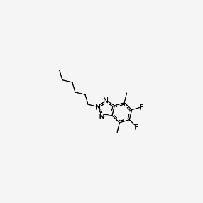 CCCCCCn1nc2c(C)c(F)c(F)c(C)c2n1